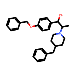 CC(C(O)c1ccc(OCc2ccccc2)cc1)N1CCC(Cc2ccccc2)CC1